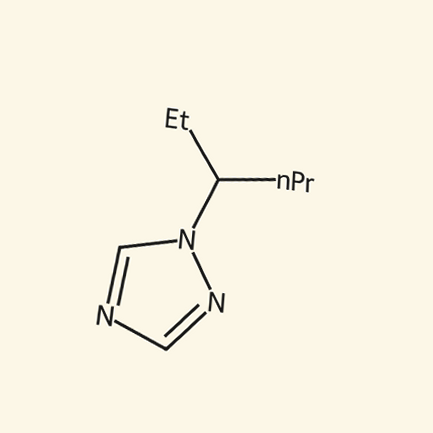 CCCC(CC)n1cncn1